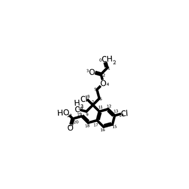 C=CC(=O)OCCC(Cl)(CC)c1cc(Cl)ccc1C=CC(=O)O